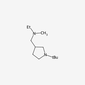 CCN(C)CC1CCN(C(C)(C)C)C1